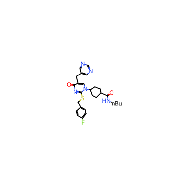 CCCCNC(=O)C1CCC(n2cc(Cc3cncnc3)c(=O)nc2SCc2ccc(F)cc2)CC1